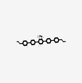 COc1cc(-c2ccc(CCC(C)C)cc2F)ccc1-c1ccc(-c2ccc(-c3ccc(CCC(C)C)cc3F)cc2OC)c2nsnc12